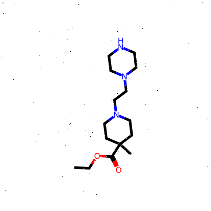 CCOC(=O)C1(C)CCN(CCN2CCNCC2)CC1